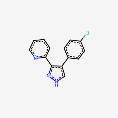 Clc1ccc(-c2c[nH]nc2-c2ccccn2)cc1